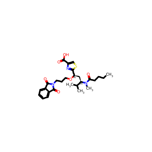 CCCCC(=O)N(C)[C@H](C[C@@H](OCCCN1C(=O)c2ccccc2C1=O)c1nc(C(=O)O)cs1)C(C)C